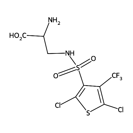 NC(CNS(=O)(=O)c1c(Cl)sc(Cl)c1C(F)(F)F)C(=O)O